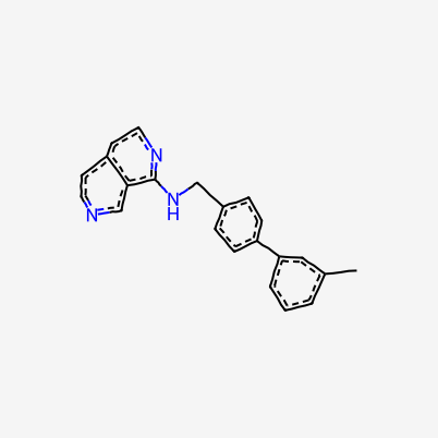 Cc1cccc(-c2ccc(CNc3nccc4ccncc34)cc2)c1